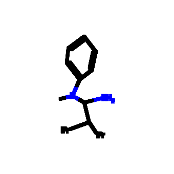 CC(C)C(C(C)C)C(N)N(C)c1ccccc1